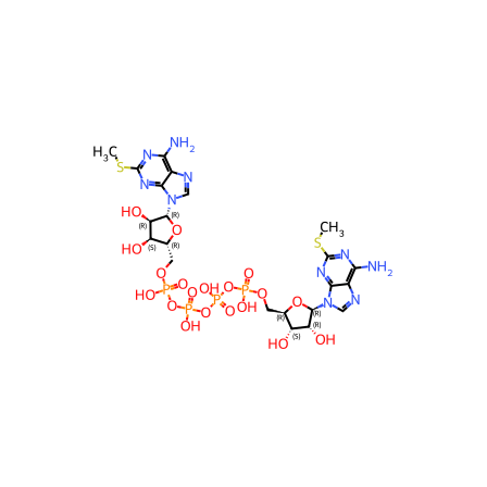 CSc1nc(N)c2ncn([C@@H]3O[C@H](COP(=O)(O)OP(=O)(O)OP(=O)(O)OP(=O)(O)OC[C@H]4O[C@@H](n5cnc6c(N)nc(SC)nc65)[C@H](O)[C@@H]4O)[C@@H](O)[C@H]3O)c2n1